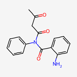 CC(=O)CC(=O)N(C(=O)c1ccccc1N)c1ccccc1